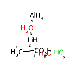 CC(=O)O.Cl.O.O.[AlH3].[LiH]